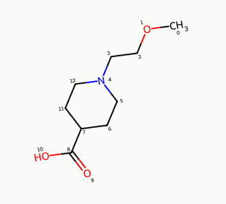 COCCN1CCC(C(=O)O)CC1